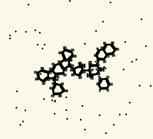 c1ccc([C@H]2NC(c3ccc4ccccc4c3)=NC(c3ccc(-n4c5ccccc5c5cc6c7ccccc7n(-c7ccccc7)c6cc54)[nH]3)N2)cc1